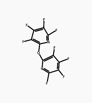 Fc1nc(Oc2nc(F)c(F)c(F)c2F)c(F)c(F)c1F